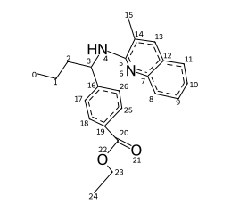 CCCC(Nc1nc2ccccc2cc1C)c1ccc(C(=O)OCC)cc1